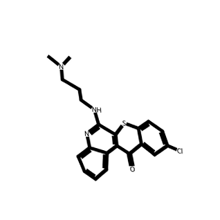 CN(C)CCCNc1nc2ccccc2c2c(=O)c3cc(Cl)ccc3sc12